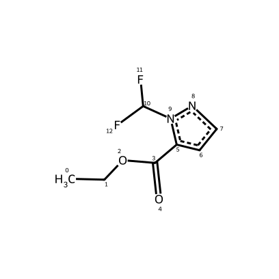 CCOC(=O)c1ccnn1C(F)F